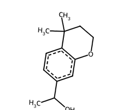 CC(O)c1ccc2c(c1)OCCC2(C)C